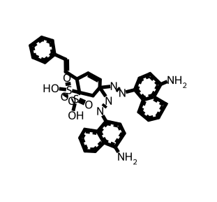 Nc1ccc(N=NC2(N=Nc3ccc(N)c4ccccc34)C=CC(C=Cc3ccccc3)C(S(=O)(=O)O)(S(=O)(=O)O)C2)c2ccccc12